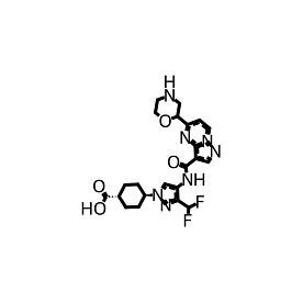 O=C(Nc1cn([C@H]2CC[C@H](C(=O)O)CC2)nc1C(F)F)c1cnn2ccc(C3CNCCO3)nc12